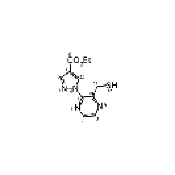 CCOC(=O)c1cnn(-c2nccnc2CS)c1